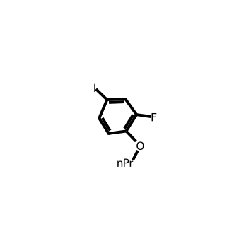 CCCOc1ccc(I)cc1F